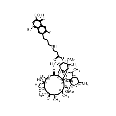 CC[C@H]1OC(=O)[C@H](C)[C@@H](O[C@H]2C[C@@](C)(OC)[C@@H](OC(=O)CCNCCCc3cc4c(cc3F)c(=O)c(C(=O)O)cn4CC)[C@H](C)O2)[C@H](C)[C@@H](O[C@@H]2O[C@H](C)C[C@H](N(C)C)[C@H]2O)[C@](C)(OC)C[C@@H](C)C(=O)[C@H](C)[C@@H](O)[C@]1(C)O